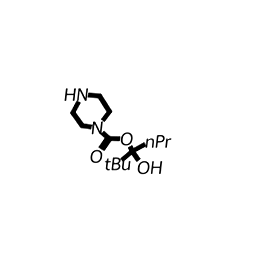 CCCC(O)(OC(=O)N1CCNCC1)C(C)(C)C